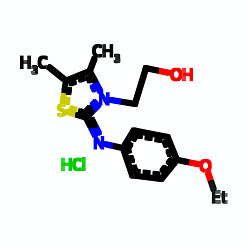 CCOc1ccc(/N=c2/sc(C)c(C)n2CCO)cc1.Cl